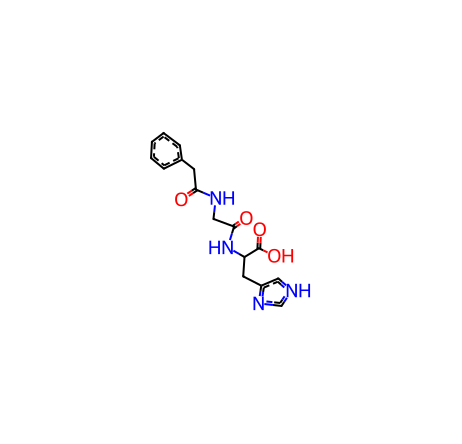 O=C(Cc1ccccc1)NCC(=O)NC(Cc1c[nH]cn1)C(=O)O